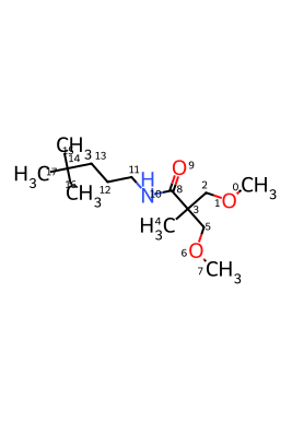 COCC(C)(COC)C(=O)NCCCC(C)(C)C